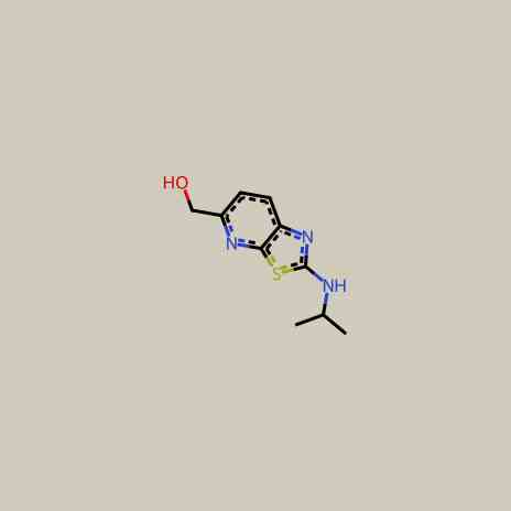 CC(C)Nc1nc2ccc(CO)nc2s1